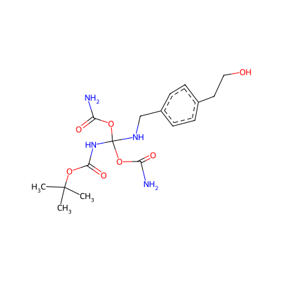 CC(C)(C)OC(=O)NC(NCc1ccc(CCO)cc1)(OC(N)=O)OC(N)=O